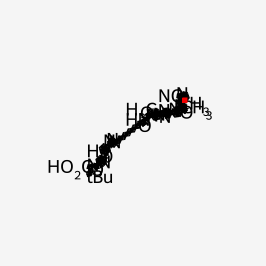 C[C@@H]1CN(c2ncc(-c3ccc4c(n3)N(Cc3cccnc3C#N)C(C)(C)C4=O)cn2)CCN1C(=O)CNC(=O)CCCCCCCCCCn1cc(-c2cccc(Oc3ccc(C(=O)NC(CCC(C)(C)C)C(=O)O)cn3)c2)nn1